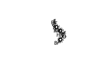 Nc1nc(OC(F)(F)F)ccc1-c1ccc(C2(NC(=O)c3ccc(Br)cc3)CC2)cc1